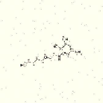 Cc1cc(N)nc(NCCOCCCCO)c1C#N